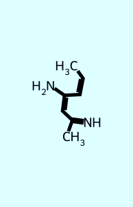 C/C=C\C(N)=C/C(C)=N